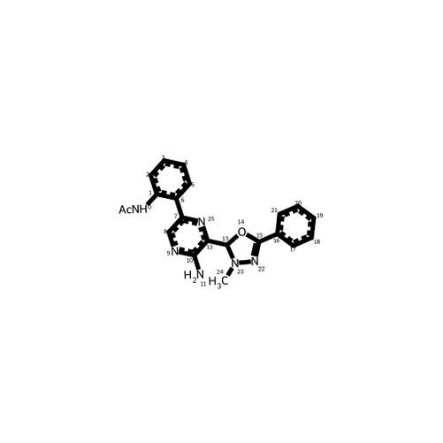 CC(=O)Nc1ccccc1-c1cnc(N)c(C2OC(c3ccccc3)=NN2C)n1